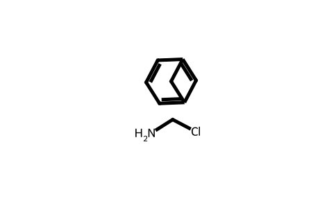 NCCl.c1cc2cc(c1)C2